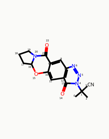 CC(C)(C#N)n1nnc2cc3c(cc2c1=O)OC1CCCN1C3=O